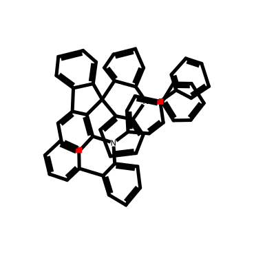 c1ccc(-c2ccc(N(c3ccccc3-c3ccccc3)c3cccc4c3C3(c5ccccc5-4)c4ccccc4N(c4ccccc4)c4ccccc43)cc2)cc1